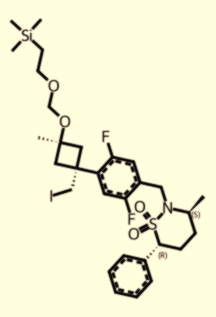 C[C@H]1CC[C@H](c2ccccc2)S(=O)(=O)N1Cc1cc(F)c([C@]2(CI)C[C@](C)(OCOCC[Si](C)(C)C)C2)cc1F